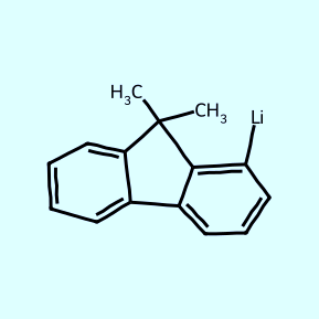 [Li][c]1cccc2c1C(C)(C)c1ccccc1-2